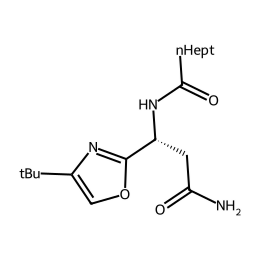 CCCCCCCC(=O)N[C@H](CC(N)=O)c1nc(C(C)(C)C)co1